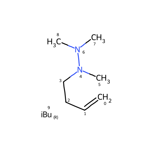 C=CC(CN(C)N(C)C)[C@H](C)CC